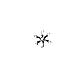 [I][Ce]([I])([I])([I])([I])[I]